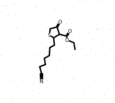 CCOC(=O)C1C(=O)CSC1CCCCCCC#N